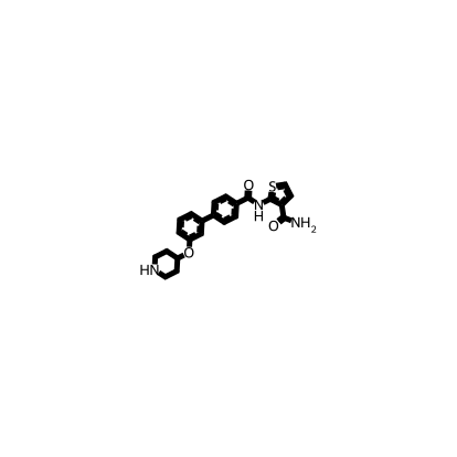 NC(=O)c1ccsc1NC(=O)c1ccc(-c2cccc(OC3CCNCC3)c2)cc1